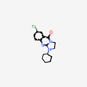 O=c1c2cc(Cl)ccc2nc2n1CCN2C1CCCCC1